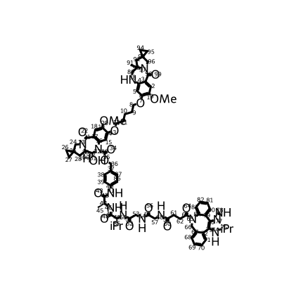 COc1cc2c(cc1OCCCCCOc1cc3c(cc1OC)C(=O)N1CC4(CC4)C[C@H]1[C@H](O)N3C(=O)OCc1ccc(NC(=O)[C@H](C)NC(=O)[C@@H](NC(=O)CNC(=O)CNC(=O)CCC(=O)N3Cc4ccccc4/C(NC(C)C)=C(/N=N)c4ccccc43)C(C)C)cc1)NCC1(C)CC3(CC3)CN1C2=O